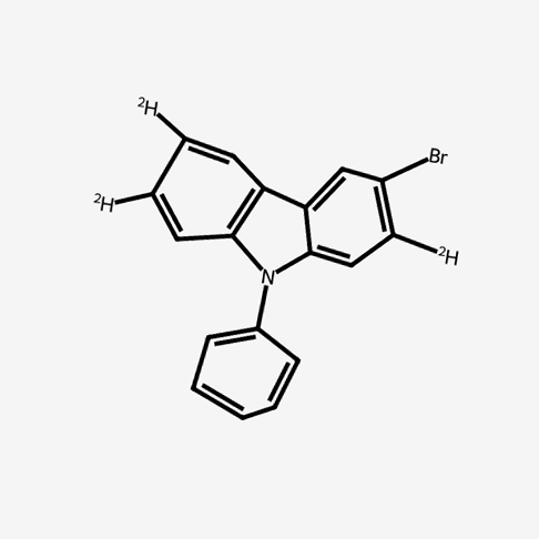 [2H]c1cc2c3cc(Br)c([2H])cc3n(-c3ccccc3)c2cc1[2H]